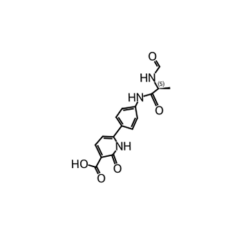 C[C@H](NC=O)C(=O)Nc1ccc(-c2ccc(C(=O)O)c(=O)[nH]2)cc1